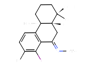 CO/N=C1\C[C@H]2[C@](C)(C(=O)O)CCC[C@]2(C)c2ccc(C(C)C)c(I)c21